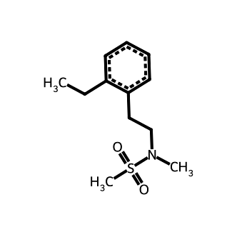 CCc1ccccc1CCN(C)S(C)(=O)=O